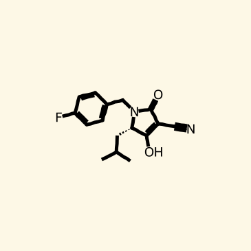 CC(C)C[C@H]1C(O)=C(C#N)C(=O)N1Cc1ccc(F)cc1